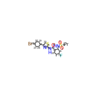 CC(C)S(=O)(=O)Nc1cc(F)ccc1C(=O)Nc1nc(-c2ccc(Br)cc2)cs1